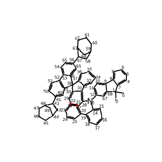 CC1(C)c2ccccc2-c2ccc(N(c3ccccc3-c3ccccc3)c3cccc4c3-c3ccccc3C43c4cc(C5CC6CCCC5C6)ccc4-c4ccc(C5CC6CCCC5C6)cc43)cc21